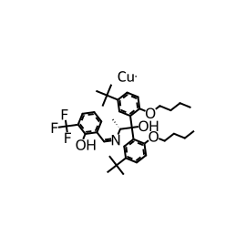 CCCCOc1ccc(C(C)(C)C)cc1C(O)(c1cc(C(C)(C)C)ccc1OCCCC)[C@@H](C)N=Cc1cccc(C(F)(F)F)c1O.[Cu]